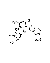 COCc1cc2cc(-c3c(Cl)nc(N)nc3N[C@@H]3C[C@H](CO)[C@@H](O)[C@H]3O)oc2cn1